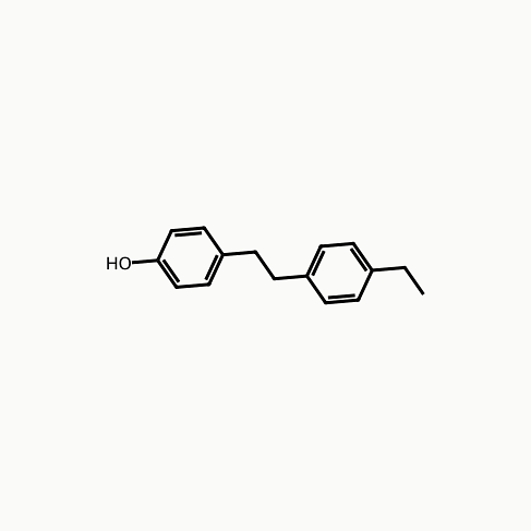 CCc1ccc(CCc2ccc(O)cc2)cc1